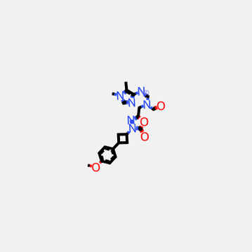 COc1ccc(C2CC(n3nc(CN(C=O)/C=N\c4ncn(C)c4C)oc3=O)C2)cc1